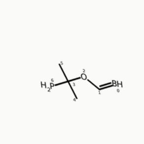 B=COC(C)(C)P